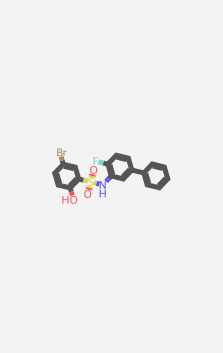 O=S(=O)(Nc1cc(-c2ccccc2)ccc1F)c1cc(Br)ccc1O